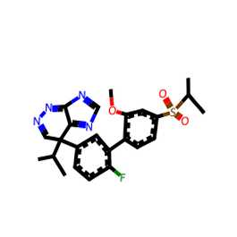 COc1cc(S(=O)(=O)C(C)C)ccc1-c1cc(C2(C(C)C)C=NN=C3N=CN=C32)ccc1F